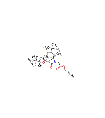 C=CCOC(=O)CN1C(=O)[C@H]([C@@H](C)O[Si](C)(C)C(C)(C)C)[C@H]1[C@@H](C)C(=S)C(C)(C)C